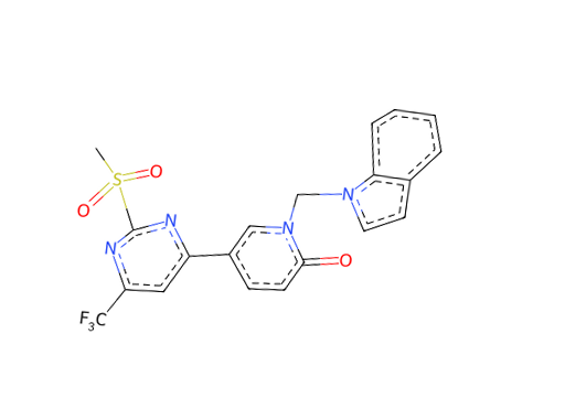 CS(=O)(=O)c1nc(-c2ccc(=O)n(Cn3ccc4ccccc43)c2)cc(C(F)(F)F)n1